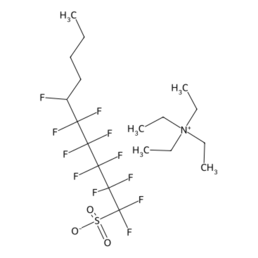 CCCCC(F)C(F)(F)C(F)(F)C(F)(F)C(F)(F)C(F)(F)S(=O)(=O)[O-].CC[N+](CC)(CC)CC